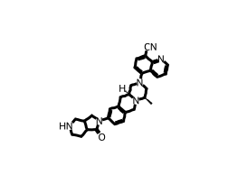 C[C@@H]1CN(c2ccc(C#N)c3ncccc23)C[C@@H]2Cc3cc(N4CC5CNCCC5C4=O)ccc3CN21